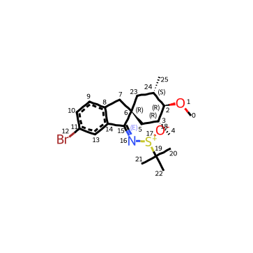 CO[C@H]1[C@H](C)C[C@@]2(Cc3ccc(Br)cc3/C2=N/[S+]([O-])C(C)(C)C)C[C@@H]1C